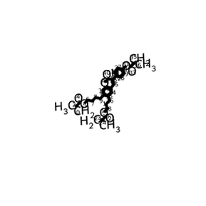 C=C(C)C(=O)OCCCCc1cc2c(cc1CCCOC(=O)C(=C)C)C=C(c1ccc(OC(=O)C(=C)C)cc1)C(O)O2